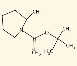 C=C(OC(C)(C)C)N1CCCCC1C